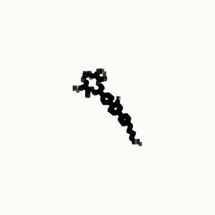 C=C(CO)C(=O)OCC(COC(=O)C(=C)COC)c1ccc(-c2ccc(-c3ccc(CCCCC)cc3)cc2F)cc1